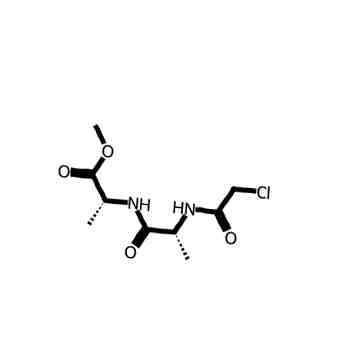 COC(=O)[C@@H](C)NC(=O)[C@@H](C)NC(=O)CCl